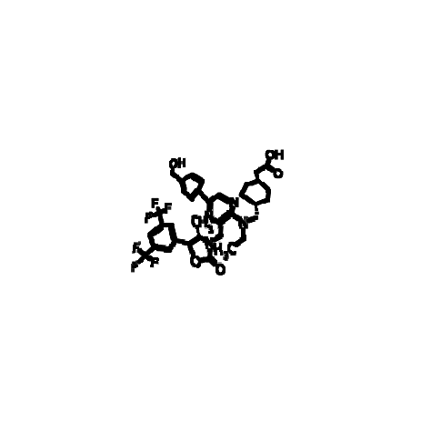 CCN(C[C@H]1CC[C@H](CC(=O)O)CC1)c1ncc(-c2ccc(CO)cc2)nc1CN1C(=O)OC(c2cc(C(F)(F)F)cc(C(F)(F)F)c2)[C@@H]1C